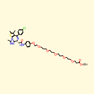 Cc1sc2c(c1C)C(c1ccc(Cl)cc1)=N[C@H](CC(=O)Nc1ccc(OCCOCCCOCCCOCCCOCCCOCCC(=O)OC(C)(C)C)cc1)c1nnc(C)n1-2